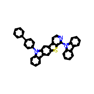 c1ccc(-c2ccc(-n3c4ccccc4c4cc5sc6c(-n7c8ccccc8c8ccccc87)nccc6c5cc43)cc2)cc1